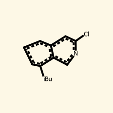 CCC(C)c1cccc2cc(Cl)ncc12